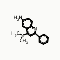 CN(C)c1cc(-c2ccccc2)nc2ccc(N)cc12